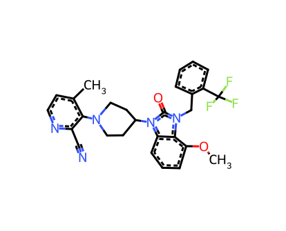 COc1cccc2c1n(Cc1ccccc1C(F)(F)F)c(=O)n2C1CCN(c2c(C)ccnc2C#N)CC1